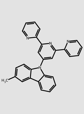 Cc1ccc2c(c1)c1ccccc1n2-c1cc(-c2ccccn2)nc(-c2ccccn2)c1